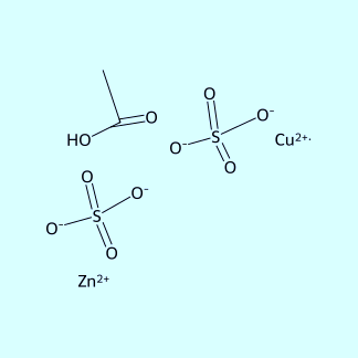 CC(=O)O.O=S(=O)([O-])[O-].O=S(=O)([O-])[O-].[Cu+2].[Zn+2]